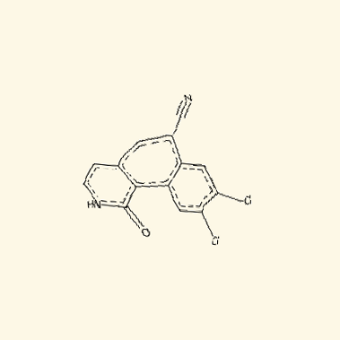 N#Cc1cc2cc[nH]c(=O)c2c2cc(Cl)c(Cl)cc12